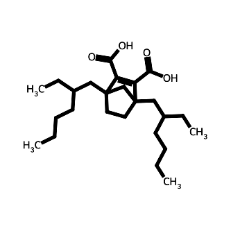 CCCCC(CC)CC12CCC(CC(CC)CCCC)(C1)C(C(=O)O)=C2C(=O)O